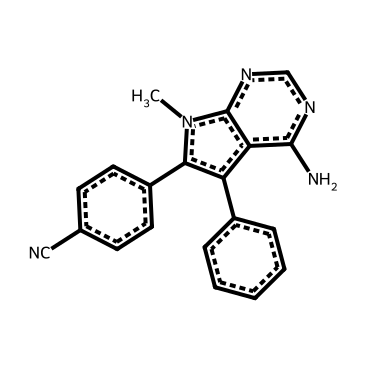 Cn1c(-c2ccc(C#N)cc2)c(-c2ccccc2)c2c(N)ncnc21